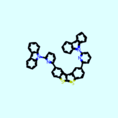 c1cc(-c2ccc3sc4sc5ccc(-c6cccc(-n7c8ccccc8c8ccccc87)n6)cc5c4c3c2)nc(-n2c3ccccc3c3ccccc32)c1